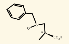 C[C@@H](C[S+]([O-])Cc1ccccc1)C(=O)O